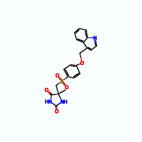 CC1(CS(=O)(=O)c2ccc(OCc3ccnc4ccccc34)cc2)NC(=O)NC1=O